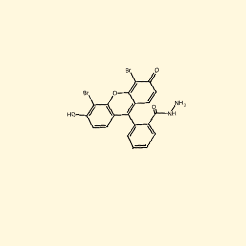 NNC(=O)c1ccccc1-c1c2ccc(=O)c(Br)c-2oc2c(Br)c(O)ccc12